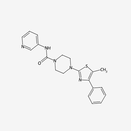 Cc1sc(N2CCN(C(=O)Nc3cccnc3)CC2)nc1-c1ccccc1